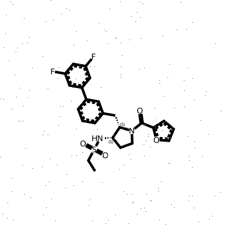 CCS(=O)(=O)N[C@H]1CCN(C(=O)c2ccco2)[C@H]1Cc1cccc(-c2cc(F)cc(F)c2)c1